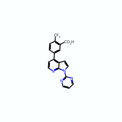 O=C(O)c1cc(-c2ccnc3c2ccn3-c2ncccn2)ccc1C(F)(F)F